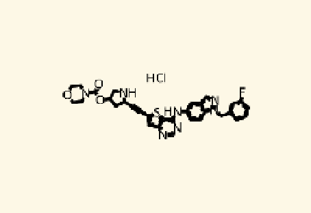 Cl.O=C(OC1CNC(C#Cc2cc3ncnc(Nc4ccc5c(cnn5Cc5cccc(F)c5)c4)c3s2)C1)N1CCOCC1